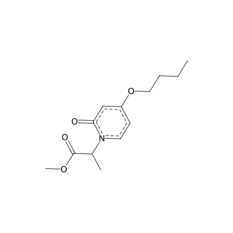 CCCCOc1ccn(C(C)C(=O)OC)c(=O)c1